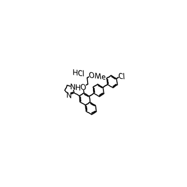 COCCOc1c(C2=NCCN2)cc2ccccc2c1-c1ccc(-c2ccc(Cl)cc2)cc1.Cl